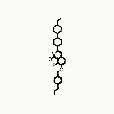 CCCc1ccc(COc2ccc3cc(C4CCC(C5CCC(CC)CC5)CC4)oc(=O)c3c2F)cc1